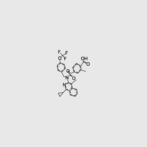 Cc1cc(S(=O)(=O)N(Cc2ccc(OC(F)(F)F)cc2)c2nc(C3CC3)c3ccccc3c2C)ccc1C(=O)O